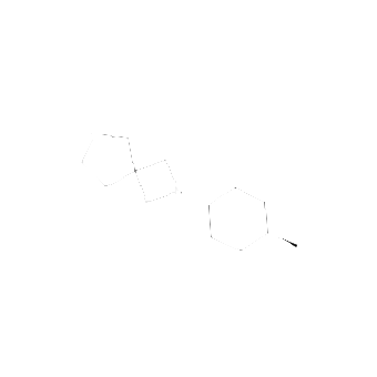 C[C@H]1CC[C@H](N2CC3(CCOC3)C2)CC1